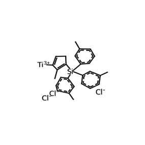 CC1=C([Si](c2cccc(C)c2)(c2cccc(C)c2)c2cccc(C)c2)CC=[C]1[Ti+3].[Cl-].[Cl-].[Cl-]